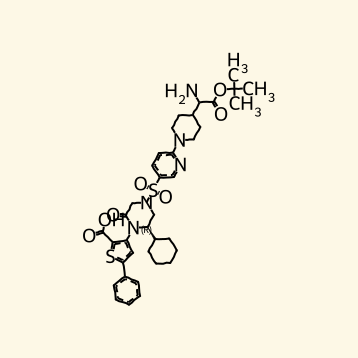 CC(C)(C)OC(=O)C(N)C1CCN(c2ccc(S(=O)(=O)N3CC(=O)N(c4cc(-c5ccccc5)sc4C(=O)O)[C@H](C4CCCCC4)C3)cn2)CC1